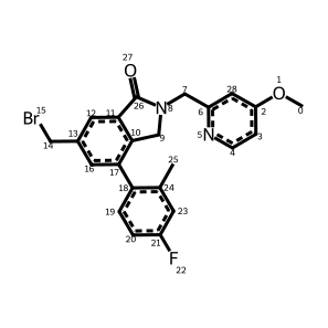 COc1ccnc(CN2Cc3c(cc(CBr)cc3-c3ccc(F)cc3C)C2=O)c1